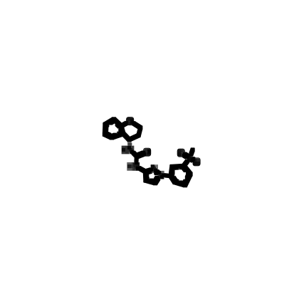 CS(=O)(=O)c1cccc(-n2ccc(NC(=O)N[C@H]3CCOc4ccccc43)n2)c1